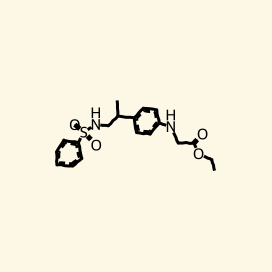 CCOC(=O)CNc1ccc(C(C)CNS(=O)(=O)c2ccccc2)cc1